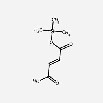 C[Si](C)(C)OC(=O)/C=C/C(=O)O